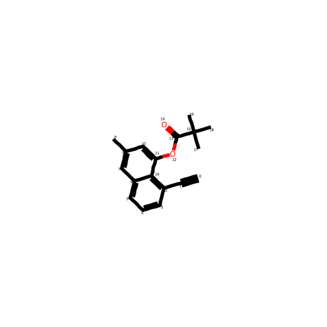 C#Cc1cccc2cc(C)cc(OC(=O)C(C)(C)C)c12